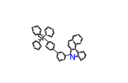 c1ccc([Si](c2ccccc2)(c2ccccc2)c2ccc(-c3cccc(-c4nc5ccccc5c5c4ccc4ccccc45)c3)cc2)cc1